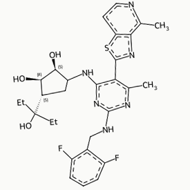 CCC(O)(CC)[C@H]1CC(Nc2nc(NCc3c(F)cccc3F)nc(C)c2-c2nc3c(C)nccc3s2)[C@H](O)[C@@H]1O